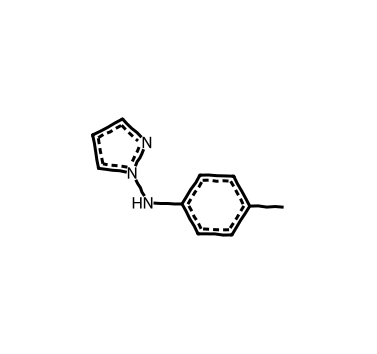 Cc1ccc(Nn2cccn2)cc1